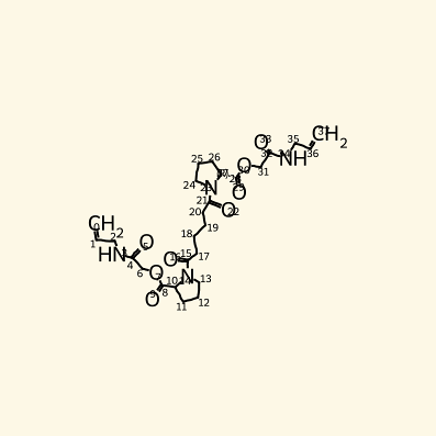 C=CCNC(=O)COC(=O)C1CCCN1C(=O)CCCCC(=O)N1CCC[C@@H]1C(=O)OCC(=O)NCC=C